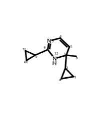 CC1(C2CC2)C=CN=C(C2CC2)N1